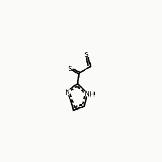 S=CC(=S)c1ncc[nH]1